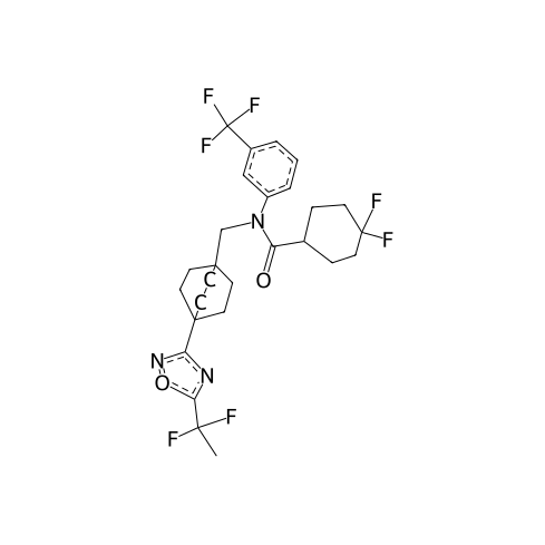 CC(F)(F)c1nc(C23CCC(CN(C(=O)C4CCC(F)(F)CC4)c4cccc(C(F)(F)F)c4)(CC2)CC3)no1